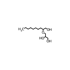 CCCCCCCCC(CO)OCC(O)CO